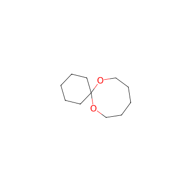 C1CCOC2(CCCCC2)OCC1